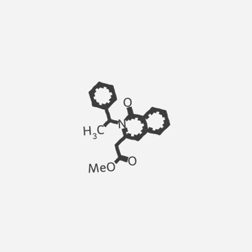 COC(=O)Cc1cc2ccccc2c(=O)n1C(C)c1ccccc1